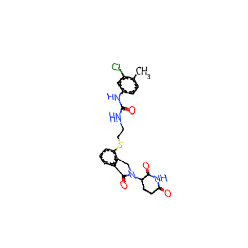 Cc1ccc(NC(=O)NCCSc2cccc3c2CN(C2CCC(=O)NC2=O)C3=O)cc1Cl